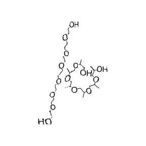 CC(O)COC(C)COC(C)COC(C)COC(C)COC(C)CO.OCCOCCOCCOCCOCCOCCOCCO